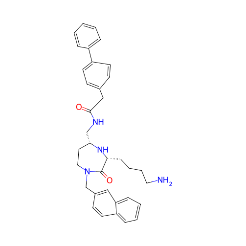 NCCCC[C@H]1N[C@@H](CNC(=O)Cc2ccc(-c3ccccc3)cc2)CCN(Cc2ccc3ccccc3c2)C1=O